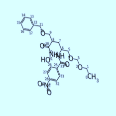 CCOCOCC(CC(COCc1ccccc1)C(=O)NO)NC(=O)c1ccc([N+](=O)[O-])cc1